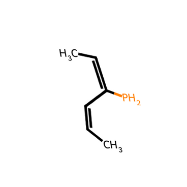 C/C=C\C(P)=C/C